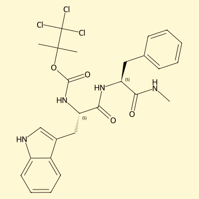 CNC(=O)[C@H](Cc1ccccc1)NC(=O)[C@H](Cc1c[nH]c2ccccc12)NC(=O)OC(C)(C)C(Cl)(Cl)Cl